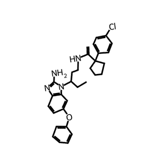 C=C(NCCC(CC)n1c(N)nc2ccc(Oc3ccccc3)cc21)C1(c2ccc(Cl)cc2)CCCC1